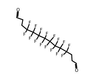 O=CCCC(F)(F)C(F)(F)C(F)(F)C(F)(F)C(F)(F)C(F)(F)C(F)(F)C(F)(F)CCC=O